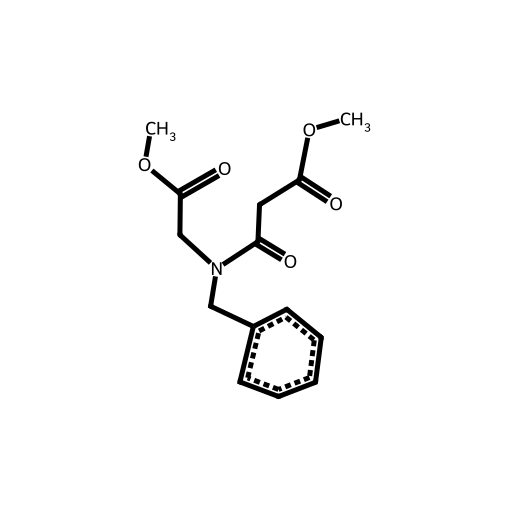 COC(=O)CC(=O)N(CC(=O)OC)Cc1ccccc1